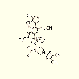 Cc1nc(N2CC3CC(C2)N(C(=O)C2CC2)C3c2cc3c(C)nc4c(F)c(-c5cccc(Cl)c5Cl)c(CCC#N)cc4c3n2C2C3CNC2C3)sc1C#N